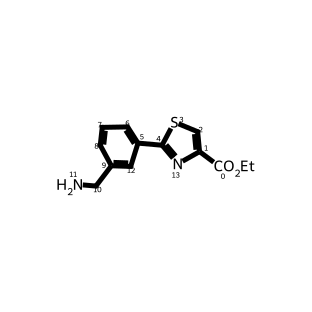 CCOC(=O)c1csc(-c2cccc(CN)c2)n1